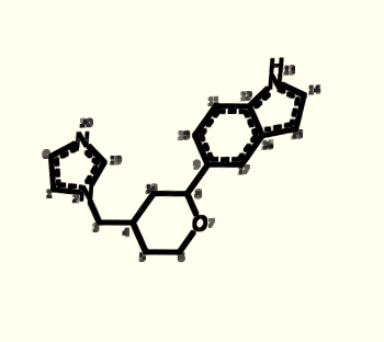 c1cn(CC2CCOC(c3ccc4[nH]ccc4c3)C2)cn1